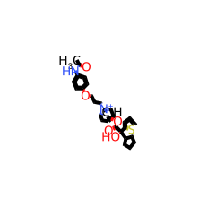 CC(=O)Nc1ccc(OCCC[N+]23CCC(CC2)[C@@H](OC(=O)[C@](O)(c2cccs2)C2CCCC2)C3)cc1